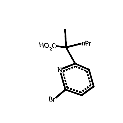 CCCC(C)(C(=O)O)c1cccc(Br)n1